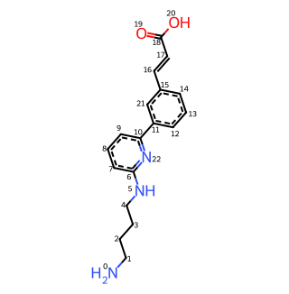 NCCCCNc1cccc(-c2cccc(C=CC(=O)O)c2)n1